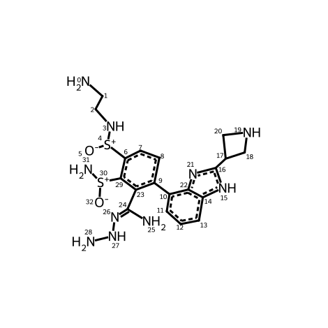 NCCN[S+]([O-])c1ccc(-c2cccc3[nH]c(C4CNC4)nc23)c(/C(N)=N/NN)c1[S+](N)[O-]